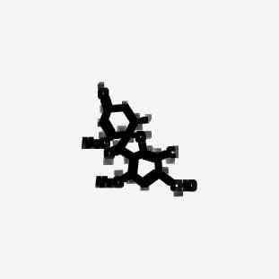 COC1=CC(=O)C[C@@H](C)[C@]12Oc1c(Cl)c(C=O)cc(OC)c1C2=O